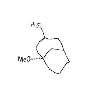 COC12CCCC(CC(C)C1)C2